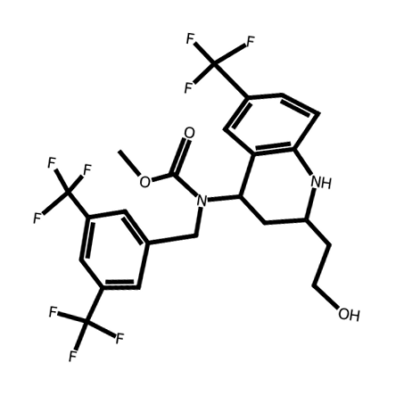 COC(=O)N(Cc1cc(C(F)(F)F)cc(C(F)(F)F)c1)C1CC(CCO)Nc2ccc(C(F)(F)F)cc21